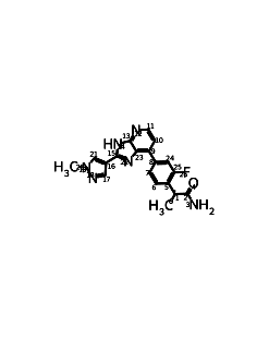 C[C](C(N)=O)c1ccc(-c2ccnc3[nH]c(-c4cnn(C)c4)nc23)cc1F